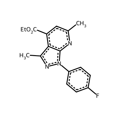 CCOC(=O)c1cc(C)nc2c1c(C)nn2-c1ccc(F)cc1